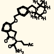 [2H]C1([2H])OC([2H])([2H])C([2H])([2H])N(Cc2ccc(COc3cccc4c3CN([C@@H](CCC(C)=O)C(N)=O)C4=O)cc2)C1([2H])[2H]